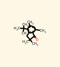 Cc1cc(C)c(C(C)(C)C)c2c1C(=O)C(C)(C)C2